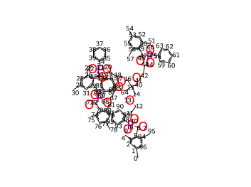 Cc1cc(C)c(C(=O)P(=O)(OCCOCC(COCCOP(=O)(C(=O)c2c(C)cc(C)cc2C)c2ccccc2)(COCCOP(=O)(C(=O)c2c(C)cc(C)cc2C)c2ccccc2)COCCOP(=O)(C(=O)c2c(C)cc(C)cc2C)c2ccccc2)c2ccccc2)c(C)c1